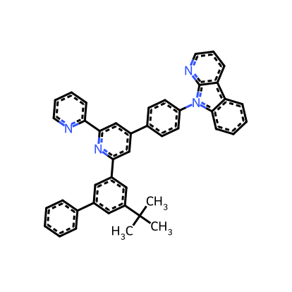 CC(C)(C)c1cc(-c2ccccc2)cc(-c2cc(-c3ccc(-n4c5ccccc5c5cccnc54)cc3)cc(-c3ccccn3)n2)c1